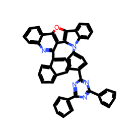 c1ccc(-c2nc(-c3ccccc3)nc(-c3ccc(-n4c5ccccc5c5oc6c7ccccc7nc(-c7cccc8ccccc78)c6c54)cc3)n2)cc1